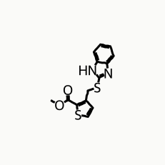 COC(=O)c1sccc1CSc1nc2ccccc2[nH]1